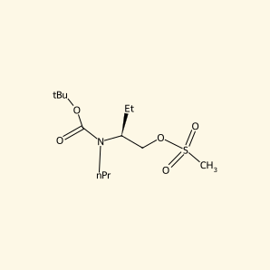 CCCN(C(=O)OC(C)(C)C)[C@@H](CC)COS(C)(=O)=O